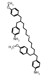 COc1ccc(CC(CCCCSCCCCC(Cc2ccc(N)cc2)Cc2ccc(OC)cc2)Cc2ccc(N)cc2)cc1